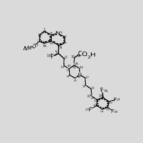 COc1ccc2nccc(C(F)CC[C@@H]3CCN(CCCSc4c(F)cc(F)c(F)c4F)C[C@@H]3CC(=O)O)c2c1